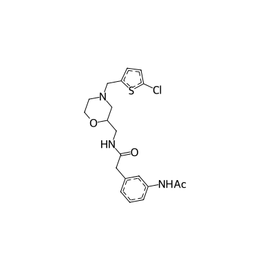 CC(=O)Nc1cccc(CC(=O)NCC2CN(Cc3ccc(Cl)s3)CCO2)c1